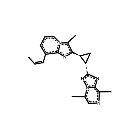 C/C=C\c1cccn2c(C)c([C@H]3C[C@@H]3c3nc4c(C)ncc(C)n4n3)nc12